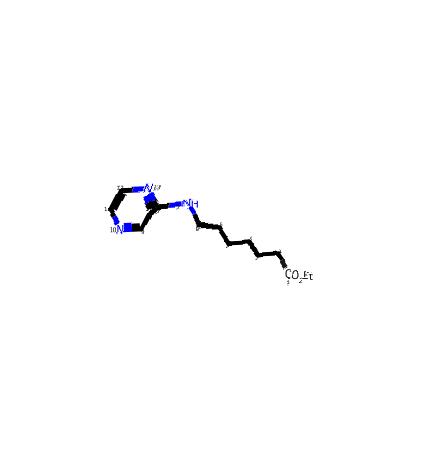 CCOC(=O)CCCCCCNc1cnccn1